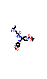 CCC(C)NCCC(=O)Nc1sc2c(c1-c1nc3cc4c(cc3s1)OCO4)CCN(C(=O)OC(C)(C)C)C2